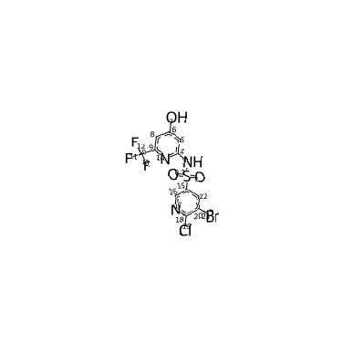 O=S(=O)(Nc1cc(O)cc(C(F)(F)F)n1)c1cnc(Cl)c(Br)c1